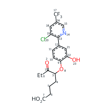 CCC(=O)C(CCCC(=O)O)Oc1ccc(-c2ncc(C(F)(F)F)cc2Cl)cc1O